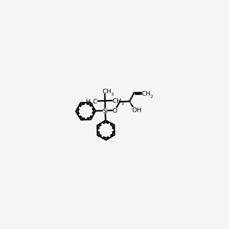 C=C[C@@H](O)CO[Si](c1ccccc1)(c1ccccc1)C(C)(C)C